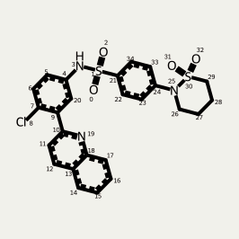 O=S(=O)(Nc1ccc(Cl)c(-c2ccc3ccccc3n2)c1)c1ccc(N2CCCCS2(=O)=O)cc1